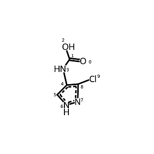 O=C(O)Nc1c[nH]nc1Cl